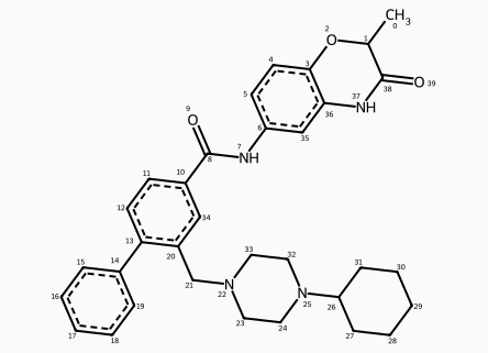 CC1Oc2ccc(NC(=O)c3ccc(-c4ccccc4)c(CN4CCN(C5CCCCC5)CC4)c3)cc2NC1=O